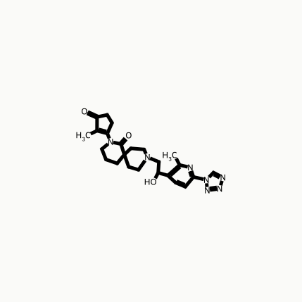 CC1=C(N2CCCC3(CCN(CC(O)c4ccc(-n5cnnn5)nc4C)CC3)C2=O)CCC1=O